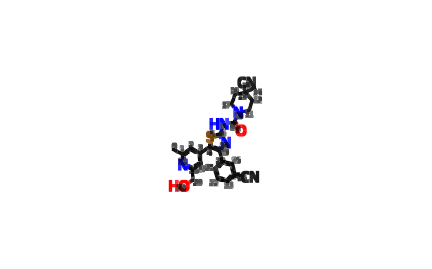 Cc1cc(-c2sc(NC(=O)N3CCC(C)(C#N)CC3)nc2-c2cccc(C#N)c2)cc(CO)n1